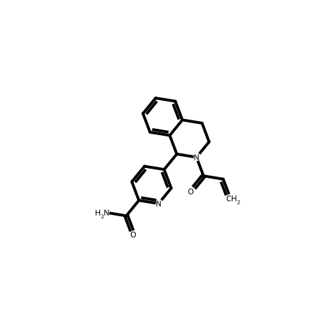 C=CC(=O)N1CCc2ccccc2C1c1ccc(C(N)=O)nc1